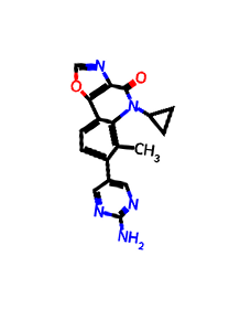 Cc1c(-c2cnc(N)nc2)ccc2c3ocnc3c(=O)n(C3CC3)c12